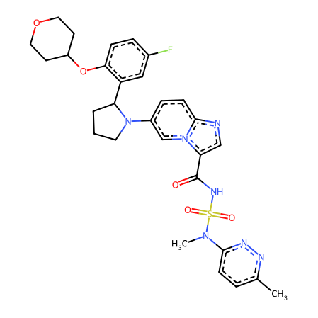 Cc1ccc(N(C)S(=O)(=O)NC(=O)c2cnc3ccc(N4CCCC4c4cc(F)ccc4OC4CCOCC4)cn23)nn1